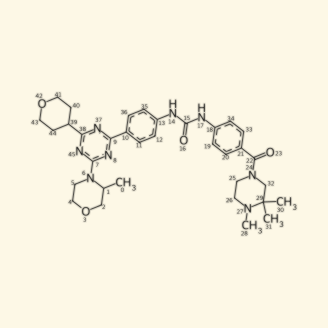 CC1COCCN1c1nc(-c2ccc(NC(=O)Nc3ccc(C(=O)N4CCN(C)C(C)(C)C4)cc3)cc2)nc(C2CCOCC2)n1